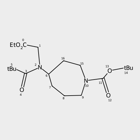 CCOC(=O)CN(C(=O)C(C)(C)C)C1CCCN(C(=O)OC(C)(C)C)CC1